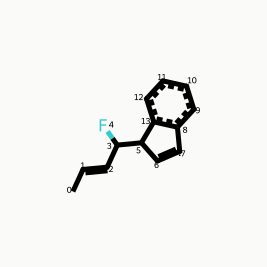 CC=CC(F)C1C=[C]c2ccccc21